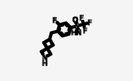 N=S(=O)(c1ccc(CC2CC3(CNC3)C2)c(F)c1)C(F)(F)F